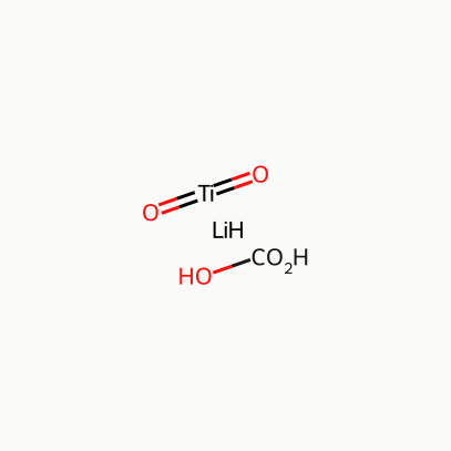 O=C(O)O.[LiH].[O]=[Ti]=[O]